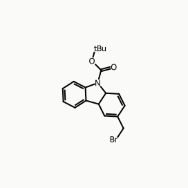 CC(C)(C)OC(=O)N1c2ccccc2C2C=C(CBr)C=CC21